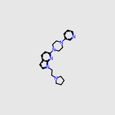 c1cncc(N2CCN(c3ccc4ccn(CCN5CCCC5)c4n3)CC2)c1